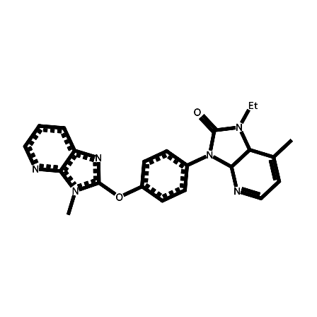 CCN1C(=O)N(c2ccc(Oc3nc4cccnc4n3C)cc2)C2N=CC=C(C)C21